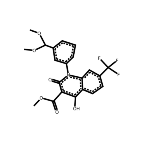 COC(=O)c1c(O)c2ccc(C(F)(F)F)cc2n(-c2cccc(C(OC)OC)c2)c1=O